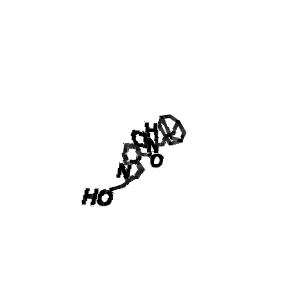 O=C(NCC12CC3CC(CC(C3)C1)C2)c1c(Cl)ccc2nc(CCO)ccc12